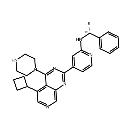 C[C@@H](Nc1cc(-c2nc(N3CCNCC3)c3c(C4CCC4)cncc3n2)ccn1)c1ccccc1